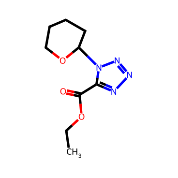 CCOC(=O)c1nnnn1C1CCCCO1